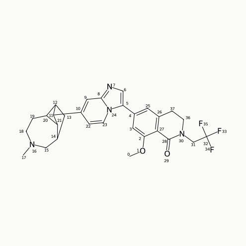 COc1cc(-c2cnc3cc(C4C5CC6CN(C)CCC5C64)ccn23)cc2c1C(=O)N(CC(F)(F)F)CC2